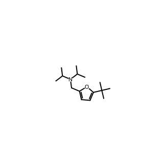 CC(C)N(Cc1ccc(C(C)(C)C)o1)C(C)C